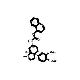 COc1ccc([C@@]23CC[C@@H](NC(=O)Nc4ccnc5ccccc45)C[C@@H]2N(C)CC3)cc1OC